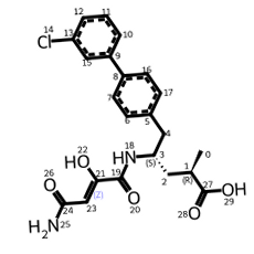 C[C@H](C[C@@H](Cc1ccc(-c2cccc(Cl)c2)cc1)NC(=O)/C(O)=C/C(N)=O)C(=O)O